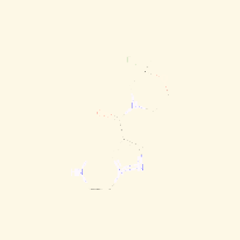 O=C(c1cnn2c1CNCC2)N1CCOC(F)(F)C1